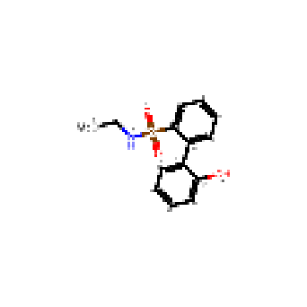 COCNS(=O)(=O)c1ccccc1-c1ccccc1O